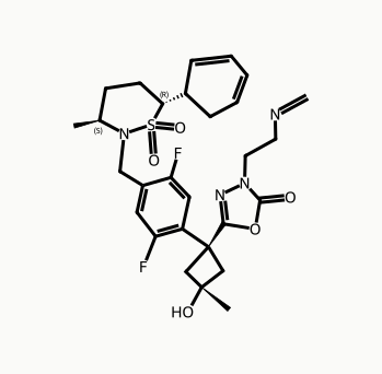 C=NCCn1nc([C@]2(c3cc(F)c(CN4[C@@H](C)CC[C@H](C5C=CC=CC5)S4(=O)=O)cc3F)C[C@@](C)(O)C2)oc1=O